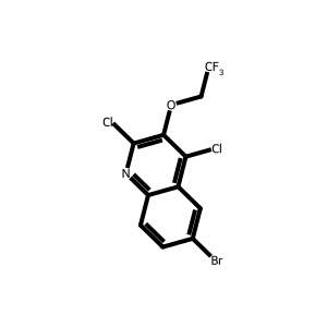 FC(F)(F)COc1c(Cl)nc2ccc(Br)cc2c1Cl